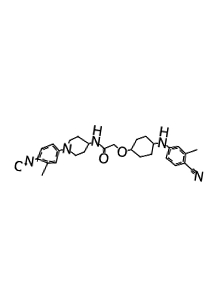 [C-]#[N+]c1ccc(N2CCC(NC(=O)COC3CCC(Nc4ccc(C#N)c(C)c4)CC3)CC2)cc1C